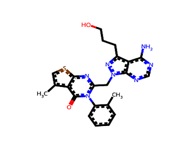 Cc1ccccc1-n1c(Cn2nc(CCCO)c3c(N)ncnc32)nc2scc(C)c2c1=O